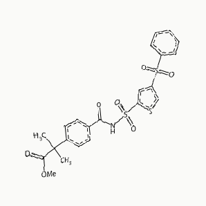 COC(=O)C(C)(C)c1ccc(C(=O)NS(=O)(=O)c2cc(S(=O)(=O)c3ccccc3)cs2)cc1